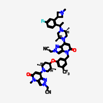 CC(c1ccc(F)cc1C1CN(C)C1)N1C[C@H](C)N(c2cc(=O)n(Cc3cc(OC4C[C@@H](C)N(c5cc(=O)n(C)c6cn(CC#N)nc56)C[C@H]4C)cc(C(F)(F)F)c3)c3cn(CC#N)nc23)C[C@H]1C